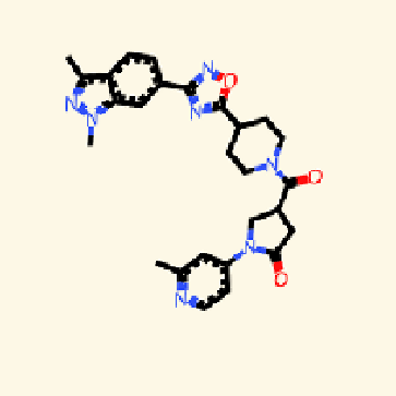 Cc1cc(N2CC(C(=O)N3CCC(c4nc(-c5ccc6c(C)nn(C)c6c5)no4)CC3)CC2=O)ccn1